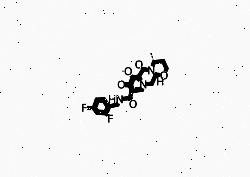 C[C@@H]1CCO[C@H]2Cn3cc(C(=O)NCc4ccc(F)cc4F)c(=O)c([O])c3C(=O)N12